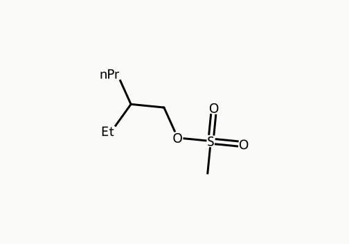 CCCC(CC)COS(C)(=O)=O